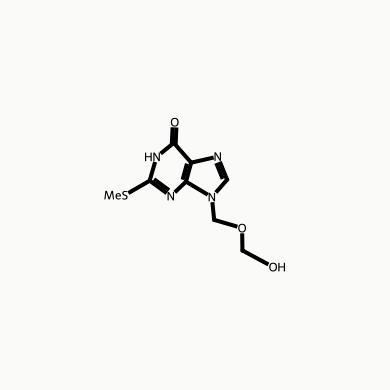 CSc1nc2c(ncn2COCO)c(=O)[nH]1